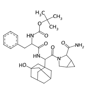 CC(C)(C)OC(=O)NC(Cc1ccccc1)C(=O)NC(C(=O)N1CC2CC2C1C(N)=O)C12CC3CC(CC(O)(C3)C1)C2